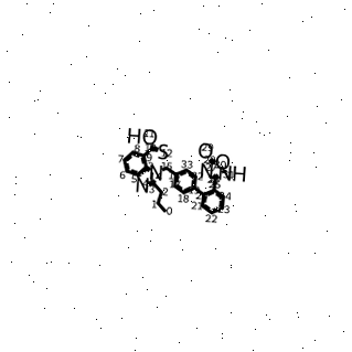 CCCc1nc2cccc(C(O)=S)c2n1Cc1ccc(-c2ccccc2-c2nc(=O)o[nH]2)cc1